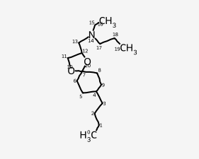 CCCCC1CCC2(CC1)OCC(CN(CC)CCC)O2